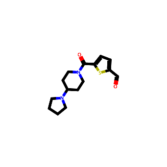 O=Cc1ccc(C(=O)N2CCC(N3CCCC3)CC2)s1